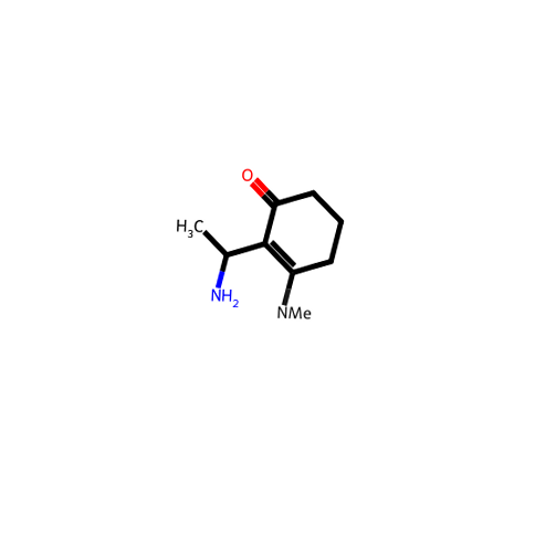 CNC1=C(C(C)N)C(=O)CCC1